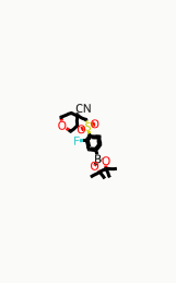 CC1(C)OB(c2ccc(S(=O)(=O)CC3(C#N)CCOCC3)c(F)c2)OC1(C)C